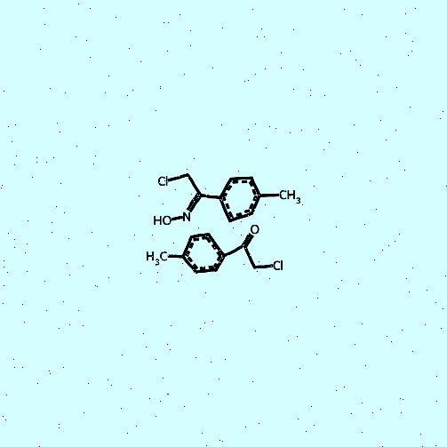 Cc1ccc(C(=O)CCl)cc1.Cc1ccc(C(CCl)=NO)cc1